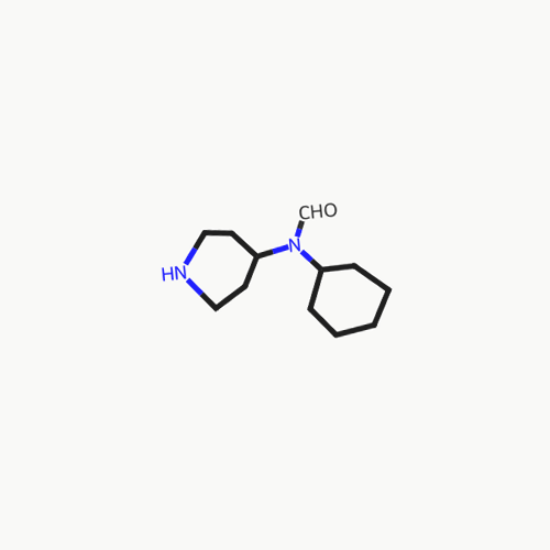 O=CN(C1CCCCC1)C1CCNCC1